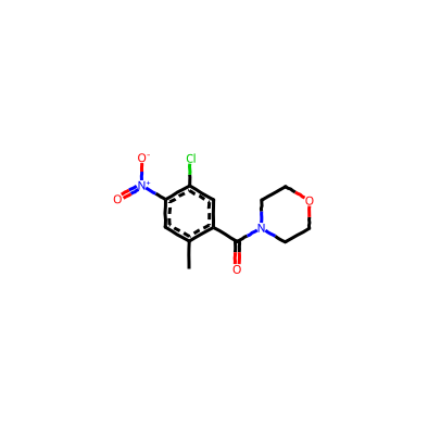 Cc1cc([N+](=O)[O-])c(Cl)cc1C(=O)N1CCOCC1